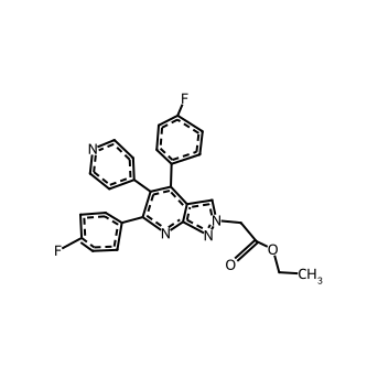 CCOC(=O)Cn1cc2c(-c3ccc(F)cc3)c(-c3ccncc3)c(-c3ccc(F)cc3)nc2n1